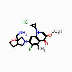 Cc1c(F)c(N2CC3CCOC3(CN)C2)cc2c1c(=O)c(OC(=O)O)cn2C1CC1.Cl